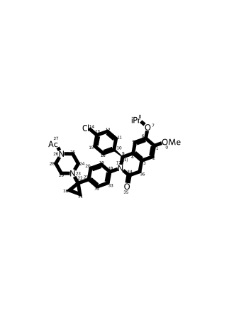 COc1cc2c(cc1OC(C)C)[C@H](c1ccc(Cl)cc1)N(c1ccc(C3(N4CCN(C(C)=O)CC4)CC3)cc1)C(=O)C2